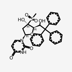 CS(=O)(=O)[C@]1(O)C[C@H](n2ccc(=O)[nH]c2=O)O[C@@H]1C(O)C(c1ccccc1)(c1ccccc1)c1ccccc1